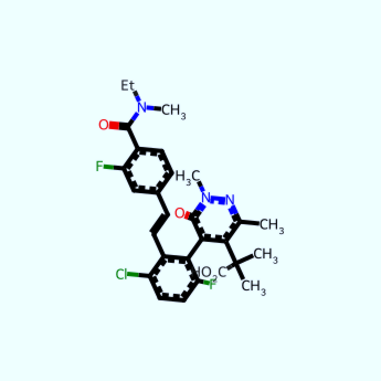 CCN(C)C(=O)c1ccc(/C=C/c2c(Cl)ccc(F)c2-c2c(C(C)(C)C(=O)O)c(C)nn(C)c2=O)cc1F